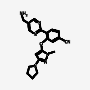 Cn1nc(N2CCCC2)cc1Oc1cc(C#N)ccc1-c1ncc(CN)cn1